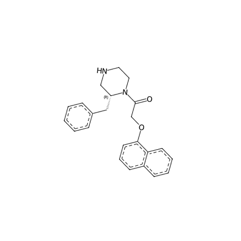 O=C(COc1cccc2ccccc12)N1CCNC[C@H]1Cc1ccccc1